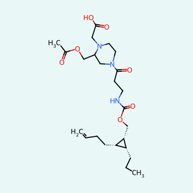 C=CCC[C@H]1[C@@H](CCC)[C@H]1COC(=O)NCCC(=O)N1CCN(CC(=O)O)C(COC(C)=O)C1